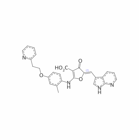 Cc1cc(OCCc2ccccn2)ccc1NC1=C(C(=O)O)C(=O)/C(=C/c2c[nH]c3ncccc23)O1